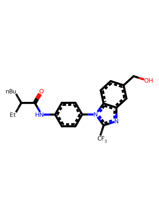 CCCCC(CC)C(=O)Nc1ccc(-n2c(C(F)(F)F)nc3cc(CO)ccc32)cc1